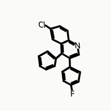 Fc1ccc(-c2cnc3ccc(Cl)cc3c2-c2ccccc2)cc1